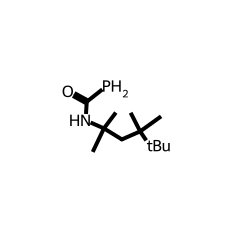 CC(C)(CC(C)(C)C(C)(C)C)NC(=O)P